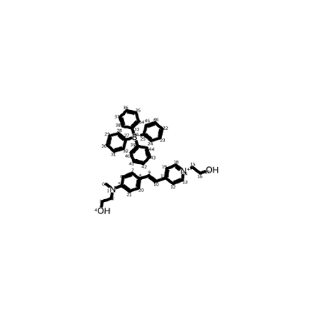 CN(CCO)c1ccc(/C=C/c2cc[n+](CCO)cc2)cc1.c1ccc([B-](c2ccccc2)(c2ccccc2)c2ccccc2)cc1